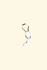 N[C@@H](CC(=O)O)c1cnc2ccccc2c1